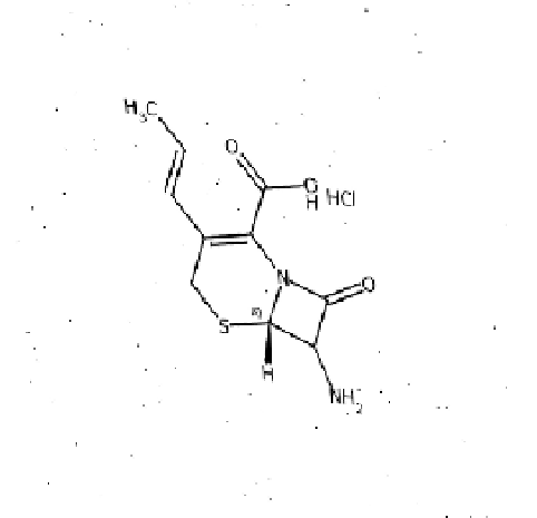 CC=CC1=C(C(=O)O)N2C(=O)C(N)[C@@H]2SC1.Cl